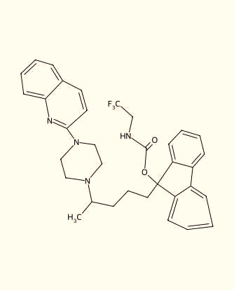 CC(CCCC1(OC(=O)NCC(F)(F)F)c2ccccc2-c2ccccc21)N1CCN(c2ccc3ccccc3n2)CC1